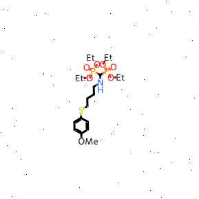 CCOP(=O)(OCC)C(NCCCCSc1ccc(OC)cc1)P(=O)(OCC)OCC